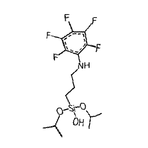 CC(C)O[Si](O)(CCCNc1c(F)c(F)c(F)c(F)c1F)OC(C)C